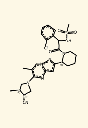 Cc1cn2nc([C@@H]3CCCCN3C(=O)C(NS(C)(=O)=O)c3ccccc3Cl)cc2nc1N1C[C@@H](C#N)[C@@H](C)C1